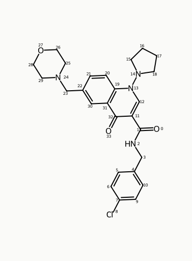 O=C(NCc1ccc(Cl)cc1)c1cn(N2CCCC2)c2ccc(CN3CCOCC3)cc2c1=O